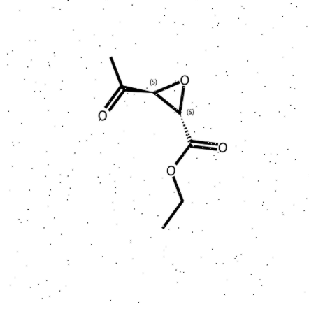 CCOC(=O)[C@H]1O[C@@H]1C(C)=O